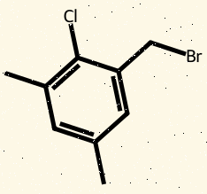 Cc1cc(C)c(Cl)c(CBr)c1